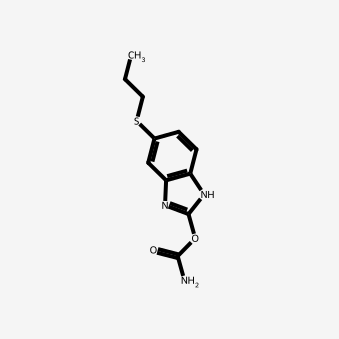 CCCSc1ccc2[nH]c(OC(N)=O)nc2c1